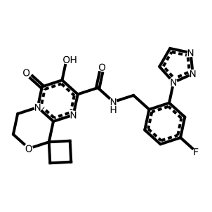 O=C(NCc1ccc(F)cc1-n1ccnn1)c1nc2n(c(=O)c1O)CCOC21CCC1